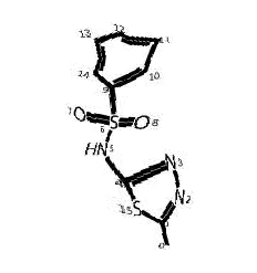 Cc1nnc(NS(=O)(=O)c2ccccc2)s1